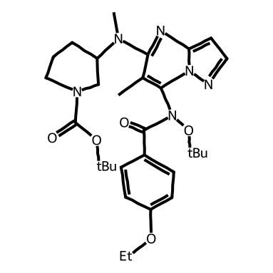 CCOc1ccc(C(=O)N(OC(C)(C)C)c2c(C)c(N(C)C3CCCN(C(=O)OC(C)(C)C)C3)nc3ccnn23)cc1